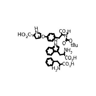 CN(C(=O)OC(C)(C)C)C(Cc1ccc(O)cc1)C(=O)O.NC(Cc1c[nH]c2ccccc12)C(=O)O.NC(Cc1ccccc1)C(=O)O.O=C(O)[C@H]1CCCN1